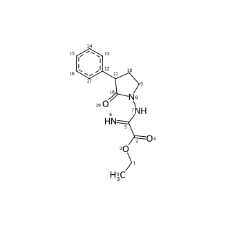 CCOC(=O)C(=N)NN1CCC(c2ccccc2)C1=O